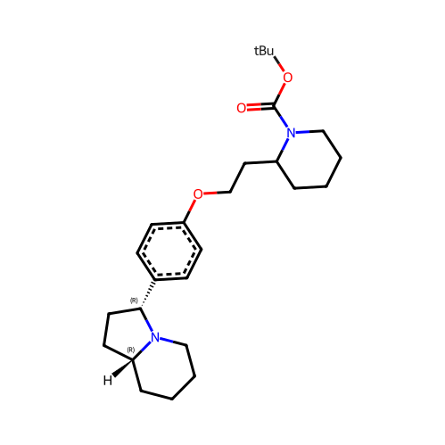 CC(C)(C)OC(=O)N1CCCCC1CCOc1ccc([C@H]2CC[C@H]3CCCCN32)cc1